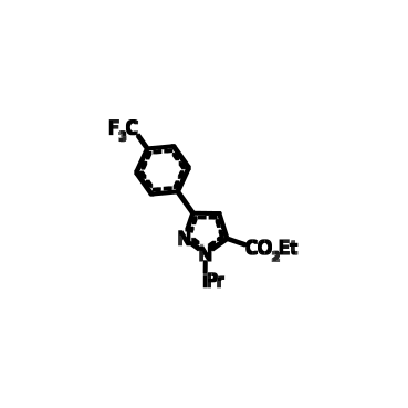 CCOC(=O)c1cc(-c2ccc(C(F)(F)F)cc2)nn1C(C)C